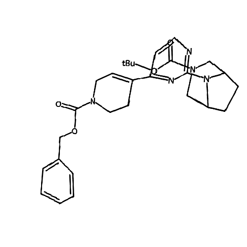 CC(C)(C)OC(=O)N1CC2CCC(C1)N2c1nccc(C2=CCN(C(=O)OCc3ccccc3)CC2)n1